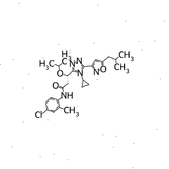 Cc1cc(Cl)ccc1NC(=O)C[C@H](OC(C)C)c1nnc(-c2cc(CC(C)C)on2)n1C1CC1